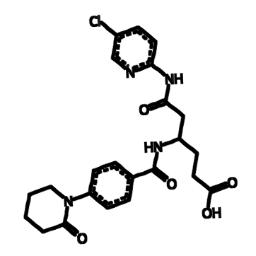 O=C(O)CCC(CC(=O)Nc1ccc(Cl)cn1)NC(=O)c1ccc(N2CCCCC2=O)cc1